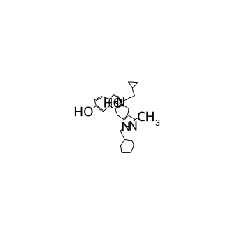 Cc1nn(CC2CCCCC2)c2c1C[C@]1(O)C3Cc4ccc(O)cc4[C@]1(CCN3CC1CC1)C2